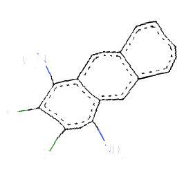 Nc1c(Cl)c(Cl)c(N)c2cc3ccccc3cc12